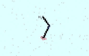 CCCCCCCCC/C=C\C=C\C=CC=CC=CC=CC(=O)O